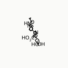 O=C(Nc1nc2ccc(-c3cnc4c(c3)N(C(=O)O)C(C3CCS(O)(O)CC3)C4)cc2s1)C1CC1